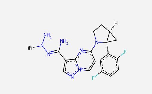 CC(C)N(N)/N=C(\N)c1cnn2ccc(N3CC[C@H]4C[C@]43c3cc(F)ccc3F)nc12